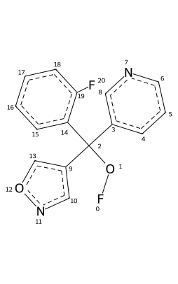 FOC(c1cccnc1)(c1cnoc1)c1ccccc1F